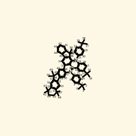 CC(C)(C)c1ccc(N2B3c4cc(C(C)(C)C)ccc4N(c4ccc(C(C)(C)C)cc4)c4c3c(cc3c4C(C)(C)c4ccccc4-3)-c3cc4c(cc32)-c2cc3c(cc2C4(C)C)C(C)(C)CCC3(C)C)cc1